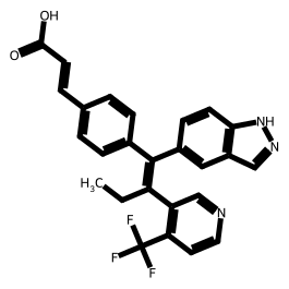 CCC(=C(c1ccc(C=CC(=O)O)cc1)c1ccc2[nH]ncc2c1)c1cnccc1C(F)(F)F